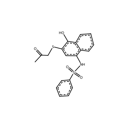 CC(=O)CSc1cc(NS(=O)(=O)c2ccccc2)c2ccccc2c1O